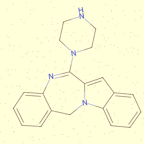 c1ccc2c(c1)Cn1c(cc3ccccc31)C(N1CCNCC1)=N2